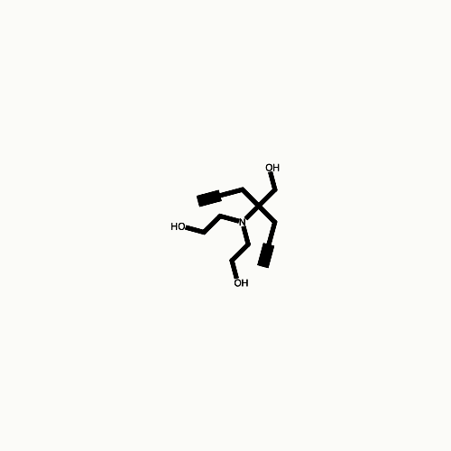 C#CCC(CO)(CC#C)N(CCO)CCO